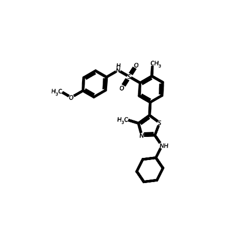 COc1ccc(NS(=O)(=O)c2cc(-c3sc(NC4CCCCC4)nc3C)ccc2C)cc1